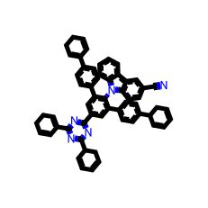 N#Cc1ccc2c(c1)c1ccccc1n2-c1c(-c2ccc(C3=CCCC=C3)cc2)cc(-c2nc(C3=CCCC=C3)nc(C3C=CC=CC3)n2)cc1-c1ccc(C2C=CC=CC2)cc1